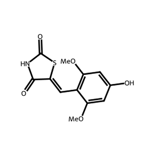 COc1cc(O)cc(OC)c1C=C1SC(=O)NC1=O